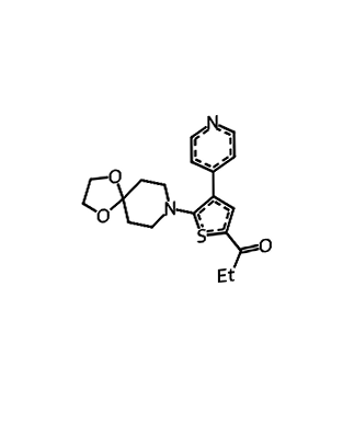 CCC(=O)c1cc(-c2ccncc2)c(N2CCC3(CC2)OCCO3)s1